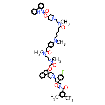 CN(CCN1CCC(OC(=O)Nc2ccccc2-c2ccccc2)CC1)C(=O)CCCCCN(C)c1ccc(CC(=O)N(C)CCCN(C)C(=O)CO[C@H]2Cc3ccccc3C23CCN(CC[C@@]2(c4ccc(F)cc4)CN(C(=O)c4cc(C(F)(F)F)cc(C(F)(F)F)c4)CO2)CC3)cc1